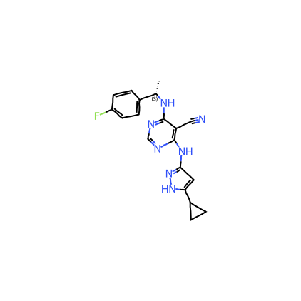 C[C@H](Nc1ncnc(Nc2cc(C3CC3)[nH]n2)c1C#N)c1ccc(F)cc1